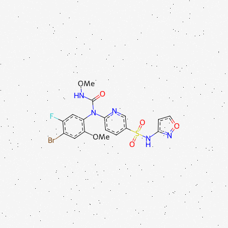 CONC(=O)N(c1ccc(S(=O)(=O)Nc2ccon2)cn1)c1cc(F)c(Br)cc1OC